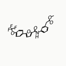 COC(=O)Cc1cccc(NC(=O)c2ccc(-c3ccc(OC(F)(F)F)cc3)o2)c1